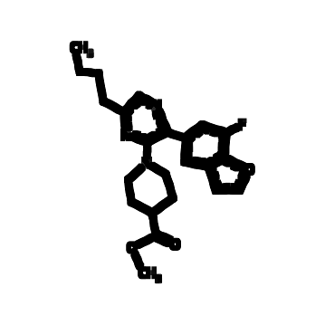 CCCCc1cnc(-c2cc(F)c3occc3c2)c(N2CCC(C(=O)OC)CC2)n1